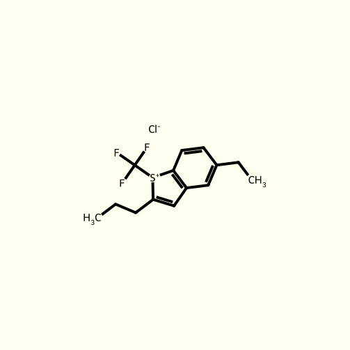 CCCc1cc2cc(CC)ccc2[s+]1C(F)(F)F.[Cl-]